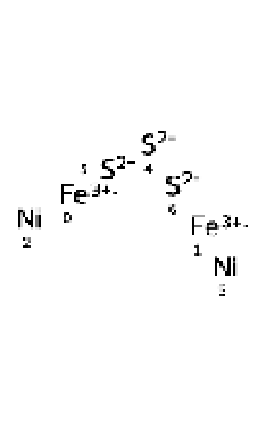 [Fe+3].[Fe+3].[Ni].[Ni].[S-2].[S-2].[S-2]